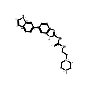 O=C(NCCN1CCNCC1)Nc1nc2ccc(-c3ccc4cc[nH]c4c3)cc2s1